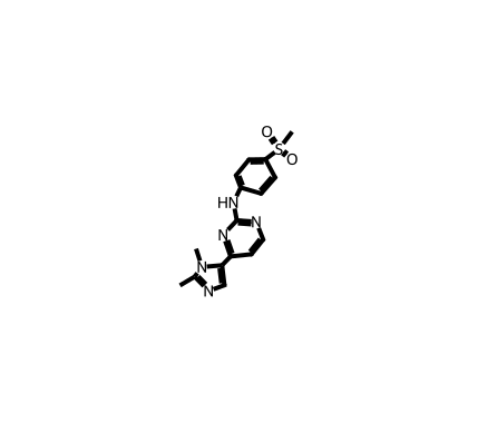 Cc1ncc(-c2ccnc(Nc3ccc(S(C)(=O)=O)cc3)n2)n1C